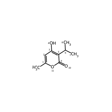 Cc1cc(O)c(C(C)C)c(=O)o1